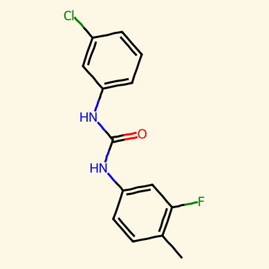 Cc1ccc(NC(=O)Nc2cccc(Cl)c2)cc1F